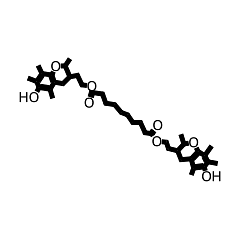 Cc1c(C)c2c(c(C)c1O)CC(CCOC(=O)CCCCCCCCC(=O)OCCC1Cc3c(C)c(O)c(C)c(C)c3OC1C)C(C)O2